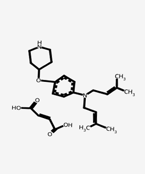 CC(C)=CCN(CC=C(C)C)c1ccc(OC2CCNCC2)cc1.O=C(O)C=CC(=O)O